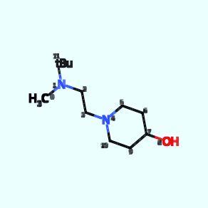 CN(CCN1CCC(O)CC1)C(C)(C)C